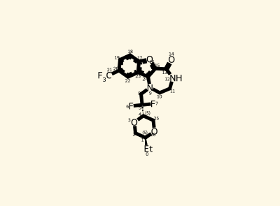 CC[C@H]1CO[C@H](C(F)(F)CN2CCNC(=O)c3oc4ccc(C(F)(F)F)cc4c32)CO1